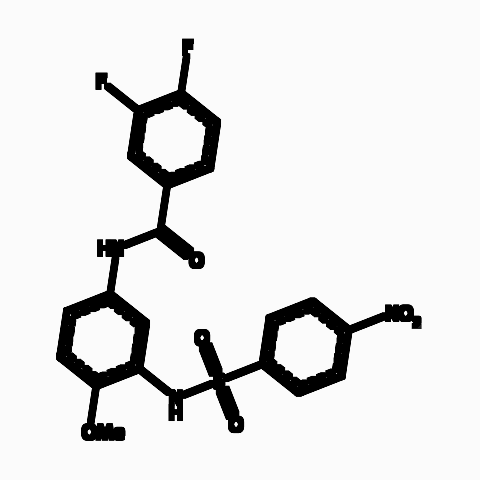 COc1ccc(NC(=O)c2ccc(F)c(F)c2)cc1NS(=O)(=O)c1ccc([N+](=O)[O-])cc1